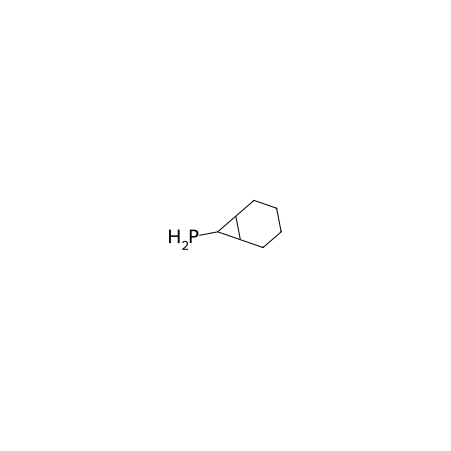 PC1C2CCCCC12